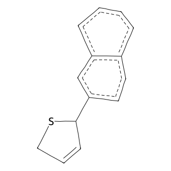 C1=CC(c2ccc3ccccc3c2)SC1